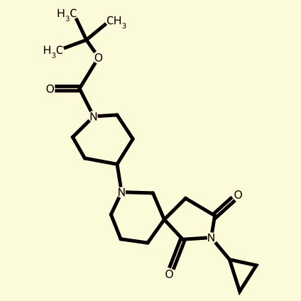 CC(C)(C)OC(=O)N1CCC(N2CCCC3(CC(=O)N(C4CC4)C3=O)C2)CC1